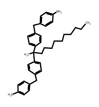 CCCCCCCCCCC(C)(c1ccc(Cc2ccc(N)cc2)cc1)c1ccc(Cc2ccc(N)cc2)cc1